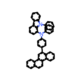 c1ccc(N(c2ccc(-c3cc4c5ccccc5ccc4c4ccccc34)cc2)c2cccc3c4ccccc4n(-c4ccccc4)c23)cc1